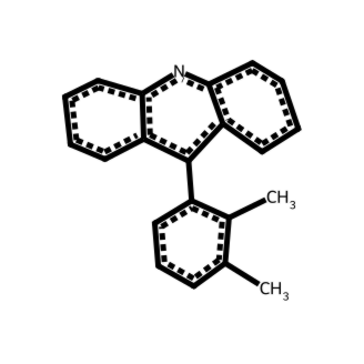 Cc1cccc(-c2c3ccccc3nc3ccccc23)c1C